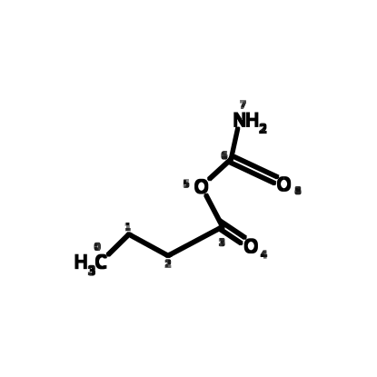 CCCC(=O)OC(N)=O